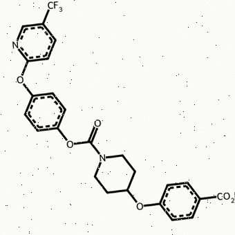 O=C(O)c1ccc(OC2CCN(C(=O)Oc3ccc(Oc4ccc(C(F)(F)F)cn4)cc3)CC2)cc1